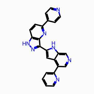 c1ccc(-c2cncc3[nH]c(-c4n[nH]c5ccc(-c6ccncc6)nc45)cc23)nc1